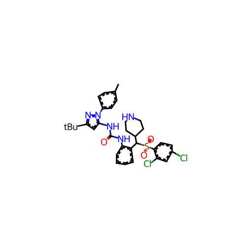 Cc1ccc(-n2nc(C(C)(C)C)cc2NC(=O)Nc2ccccc2C(C2CCNCC2)S(=O)(=O)c2ccc(Cl)cc2Cl)cc1